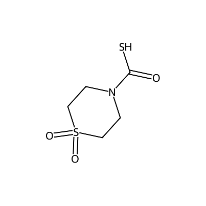 O=C(S)N1CCS(=O)(=O)CC1